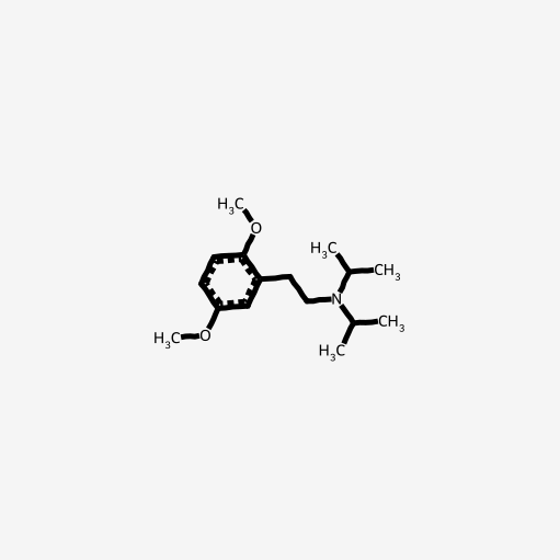 COc1ccc(OC)c(CCN(C(C)C)C(C)C)c1